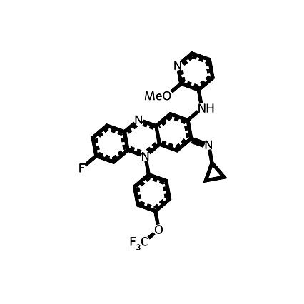 COc1ncccc1Nc1cc2nc3ccc(F)cc3n(-c3ccc(OC(F)(F)F)cc3)c-2c/c1=N\C1CC1